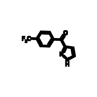 O=C(c1ccc(C(F)(F)F)cc1)c1cc[nH]n1